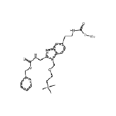 CC(C)(C)OC(=O)NCCc1ccc2c(c1)nc(CNC(=O)OCc1ccccc1)n2COCCS(C)(C)C